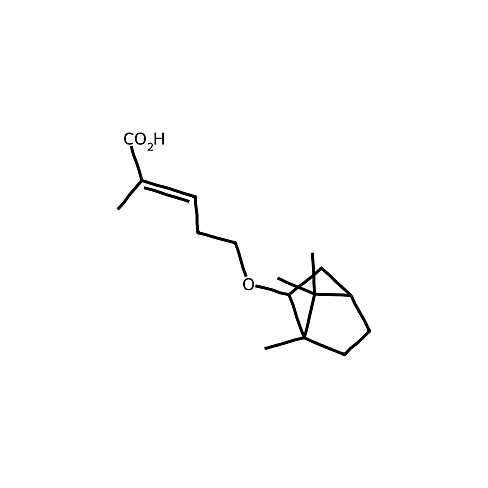 CC(=CCCOC1CC2CCC1(C)C2(C)C)C(=O)O